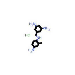 Cc1cc(N)ccc1NCc1cc(N)cc(N)c1.Cl